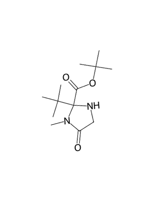 CN1C(=O)CNC1(C(=O)OC(C)(C)C)C(C)(C)C